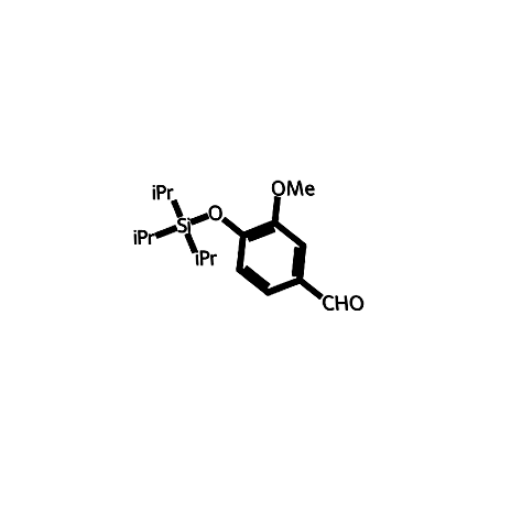 COc1cc(C=O)ccc1O[Si](C(C)C)(C(C)C)C(C)C